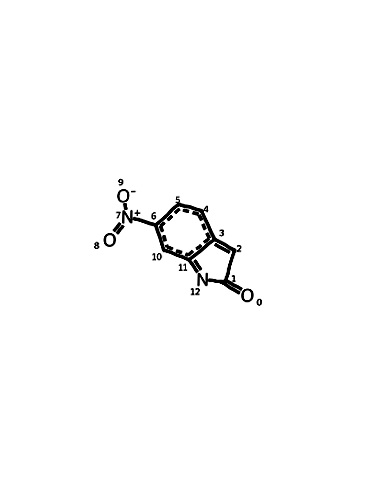 O=C1C=c2ccc([N+](=O)[O-])cc2=N1